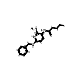 C=C(CCCC)Nc1ccc(SCc2ccccc2)nc1N